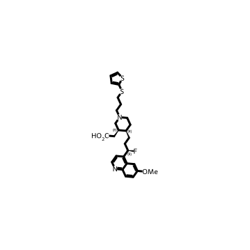 COc1ccc2nccc([C@H](F)CC[C@@H]3CCN(CCCSc4cccs4)C[C@@H]3CC(=O)O)c2c1